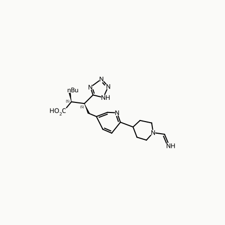 CCCC[C@H](C(=O)O)[C@H](Cc1ccc(C2CCN(C=N)CC2)nc1)c1nnn[nH]1